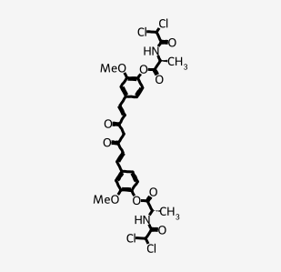 COc1cc(/C=C/C(=O)CC(=O)/C=C/c2ccc(OC(=O)[C@H](C)NC(=O)C(Cl)Cl)c(OC)c2)ccc1OC(=O)[C@H](C)NC(=O)C(Cl)Cl